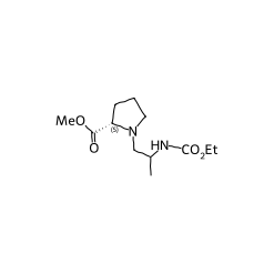 CCOC(=O)NC(C)CN1CCC[C@H]1C(=O)OC